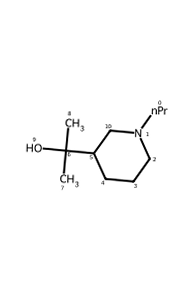 CCCN1CCCC(C(C)(C)O)C1